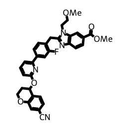 COCCn1c(Cc2ccc(-c3cccc(OC4CCOc5cc(C#N)ccc54)n3)cc2F)nc2ccc(C(=O)OC)cc21